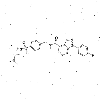 CN(C)CCNS(=O)(=O)c1ccc(CNC(=O)c2cncc3c2cnn3-c2ccc(F)cc2)cc1